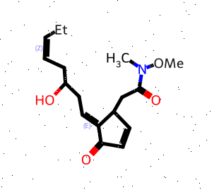 CC/C=C\CC(O)C/C=C1/C(=O)C=CC1CC(=O)N(C)OC